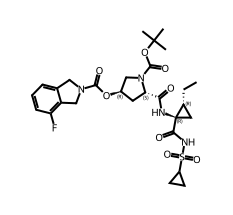 CC[C@@H]1C[C@]1(NC(=O)[C@@H]1C[C@@H](OC(=O)N2Cc3cccc(F)c3C2)CN1C(=O)OC(C)(C)C)C(=O)NS(=O)(=O)C1CC1